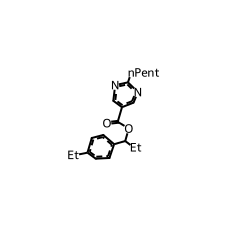 CCCCCc1ncc(C(=O)OC(CC)c2ccc(CC)cc2)cn1